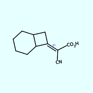 N#C/C(C(=O)O)=C1/CC2CCCCC12